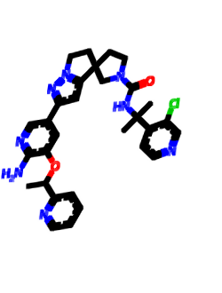 CC(Oc1cc(-c2cc3n(n2)CCC32CCN(C(=O)NC(C)(C)c3ccncc3Cl)C2)cnc1N)c1ccccn1